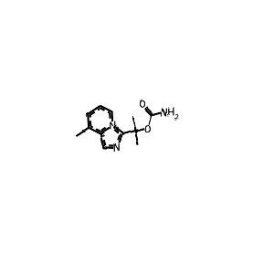 Cc1cccn2c(C(C)(C)OC(N)=O)ncc12